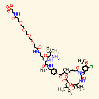 COc1ccc(C[C@H]2NC(=O)/C=C/C[C@@H]([C@H](C)[C@H]3O[C@@H]3c3ccc(CNC(=O)[C@H](CCCCNC(=O)CCOCCOCCOCCOCCC(=O)NCCS(=O)(=O)[O-])NC(=O)[C@@H](N)C(C)C)cc3)OC(=O)[C@H](CC(C)C)OC(=O)C(C)(C)CNC2=O)cc1Cl.[Na+]